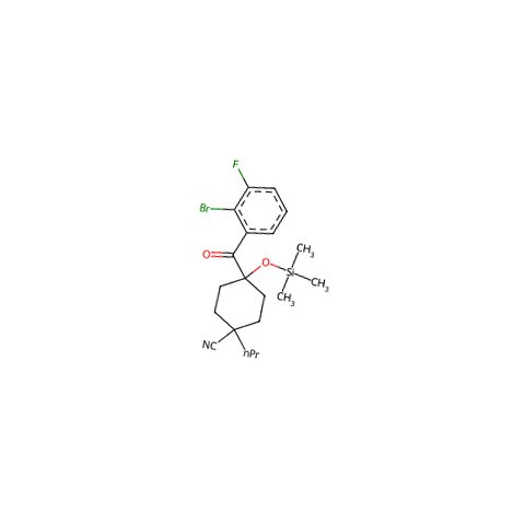 CCCC1(C#N)CCC(O[Si](C)(C)C)(C(=O)c2cccc(F)c2Br)CC1